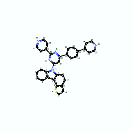 c1ccc2c(c1)c1c3sccc3ccc1n2-c1cc(-c2ccc(-c3ccncc3)cc2)nc(-c2ccncc2)n1